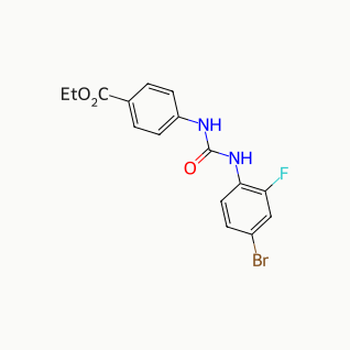 CCOC(=O)c1ccc(NC(=O)Nc2ccc(Br)cc2F)cc1